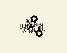 NCc1ccccc1-n1nc(C(F)(F)F)cc1Nc1ccccc1S(N)(=O)=O